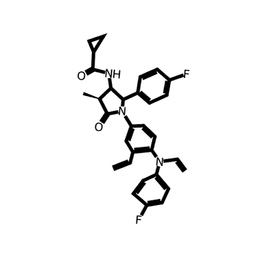 C=Cc1cc(N2C(=O)[C@@H](C)C(NC(=O)C3CC3)C2c2ccc(F)cc2)ccc1N(C=C)c1ccc(F)cc1